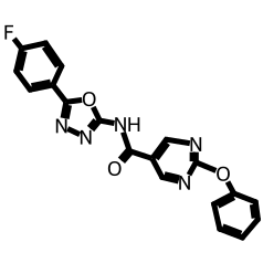 O=C(Nc1nnc(-c2ccc(F)cc2)o1)c1cnc(Oc2ccccc2)nc1